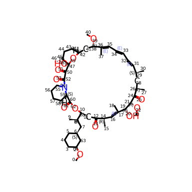 CO[C@H]1CCC[C@@H](C[C@@H](C)[C@@H]2CC(=O)[C@H](C)/C=C(\C)[C@@H](O)[C@@H](OC)C(=O)[C@H](C)C[C@H](C)/C=C/C=C/C=C(\C)[C@@H](OC)C[C@@H]3CC[C@@H](C)[C@@](O)(O3)C(=O)C(=O)N3CCCC[C@H]3C(=O)O2)C1